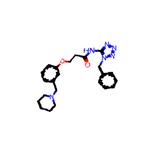 O=C(CCOc1cccc(CN2CCCCC2)c1)Nc1nnnn1Cc1ccccc1